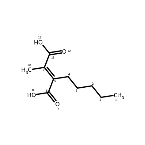 CCCCCC(C(=O)O)=C(C)C(=O)O